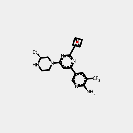 CC[C@H]1CN(c2cc(-c3cnc(N)c(C(F)(F)F)c3)nc(N3CC4CC3C4)n2)CCN1